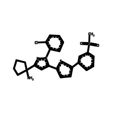 CS(=O)(=O)c1cccc(-c2ccc(-c3cc(C4(N)CCCC4)nn3-c3ccccc3Cl)s2)c1